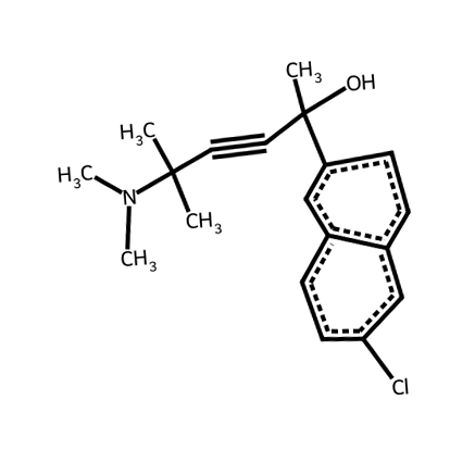 CN(C)C(C)(C)C#CC(C)(O)c1ccc2cc(Cl)ccc2c1